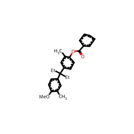 CCC(CC)(c1ccc(OC)c(C)c1)c1ccc(OC(=O)c2ccccc2)c(C)c1